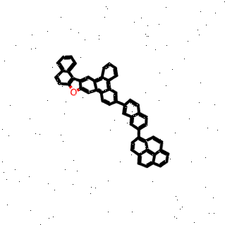 c1ccc2c(c1)ccc1oc3cc4c5ccc(-c6ccc7ccc(-c8ccc9ccc%10cccc%11ccc8c9c%10%11)cc7c6)cc5c5ccccc5c4cc3c12